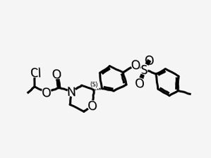 Cc1ccc(S(=O)(=O)Oc2ccc([C@H]3CN(C(=O)OC(C)Cl)CCO3)cc2)cc1